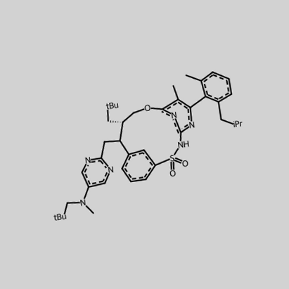 Cc1cccc(CC(C)C)c1-c1nc2nc(c1C)OC[C@@H](CC(C)(C)C)C(Cc1ncc(N(C)CC(C)(C)C)cn1)c1cccc(c1)S(=O)(=O)N2